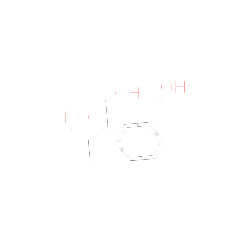 CCCCO.CO.O.c1ccccc1